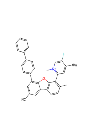 Cc1ccc2c(oc3c(-c4ccc(-c5ccccc5)cc4)cc(C#N)cc32)c1-c1cc(C(C)(C)C)c(F)c[n+]1C